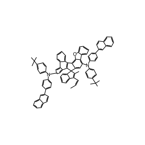 C/C=C\C1=C(C)C2(c3ccccc31)c1cc(N(c3ccc(-c4ccc5ccccc5c4)cc3)c3ccc(C(C)(C)C)cc3)c3c(oc4ccccc43)c1-c1c2c2ccc(N(c3ccc(-c4ccc5ccccc5c4)cc3)c3ccc(C(C)(C)C)cc3)cc2c2ccccc12